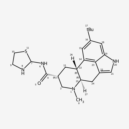 CN1C[C@H](C(=O)NC2NCCS2)C[C@@H]2c3cc(C(C)(C)C)cc4[nH]cc(c34)C[C@H]21